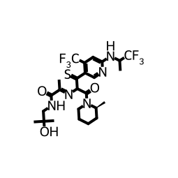 C/C(=N\C(C(=O)N1CCCC[C@@H]1C)C(=S)c1cnc(NC(C)C(F)(F)F)cc1C(F)(F)F)C(=O)NCC(C)(C)O